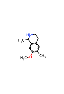 COc1cc2c(cc1C)CCNC2C